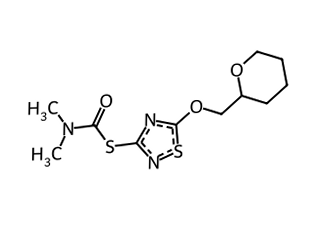 CN(C)C(=O)Sc1nsc(OCC2CCCCO2)n1